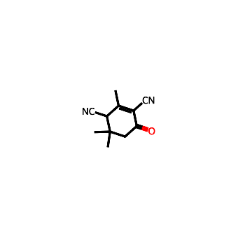 CC1=C(C#N)C(=O)CC(C)(C)C1C#N